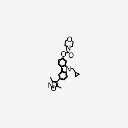 Cc1noc(C)c1-c1ccc2c(c1)c1ccc(OC(=O)N3CCOCC3)cc1n2CC1CC1